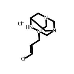 Cl/C=C/C[N+]12CN3CC(CN(C3)C1)N2.[Cl-]